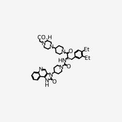 CCc1ccc(C[C@@H](NC(=O)N2CCC(n3c(=O)[nH]c4c5ccccc5ncc43)CC2)C(=O)N2CCC(N3CCN(CC(=O)O)CC3)CC2)cc1CC